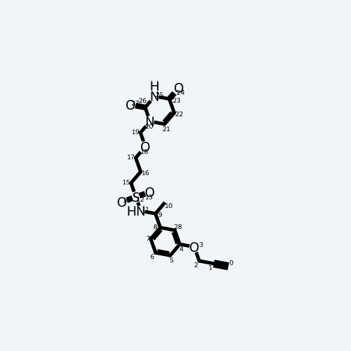 C#CCOc1cccc(C(C)NS(=O)(=O)CCCOCn2ccc(=O)[nH]c2=O)c1